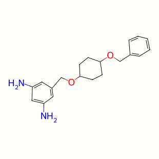 Nc1cc(N)cc(COC2CCC(OCc3ccccc3)CC2)c1